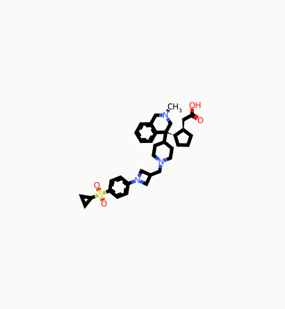 CN1Cc2ccccc2C(C2CCN(CC3CN(c4ccc(S(=O)(=O)C5CC5)cc4)C3)CC2)([C@H]2CCC[C@@H]2CC(=O)O)C1